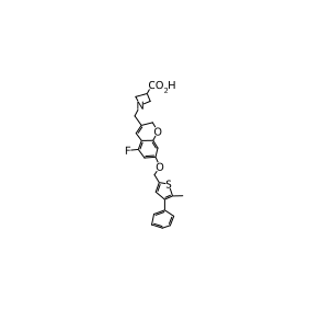 Cc1sc(COc2cc(F)c3c(c2)OCC(CN2CC(C(=O)O)C2)=C3)cc1-c1ccccc1